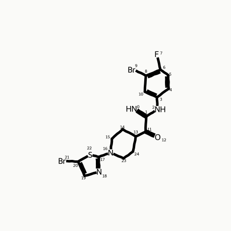 N=C(Nc1ccc(F)c(Br)c1)C(=O)C1CCN(c2ncc(Br)s2)CC1